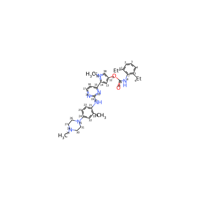 CCc1cccc(CC)c1NC(=O)Oc1cc(-c2ccnc(Nc3ccc(N4CCN(C)CC4)cc3C)n2)n(C)c1